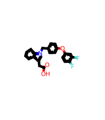 O=C(O)Cc1cn(Cc2ccc(Oc3ccc(F)c(F)c3)cc2)c2ccccc12